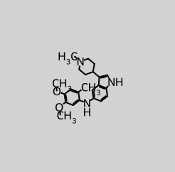 COc1cc(C)c(Nc2ccc3[nH]cc(C4CCN(C)CC4)c3c2)cc1OC